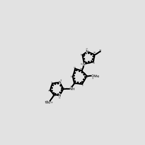 COc1cc(Nc2nccc(C(C)(C)C)n2)ccc1-n1cnc(C)c1